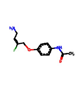 CC(=O)Nc1ccc(OC/C(F)=C\CN)cc1